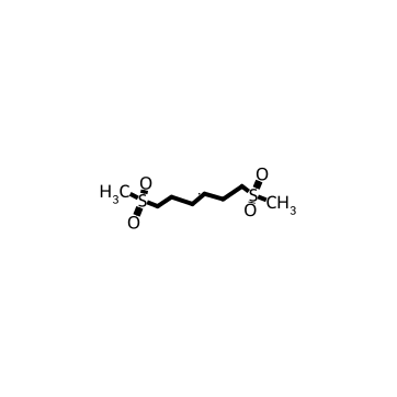 CS(=O)(=O)CC[CH]CCCS(C)(=O)=O